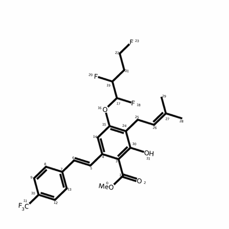 COC(=O)c1c(C=Cc2ccc(C(F)(F)F)cc2)cc(OC(F)C(F)CCF)c(CC=C(C)C)c1O